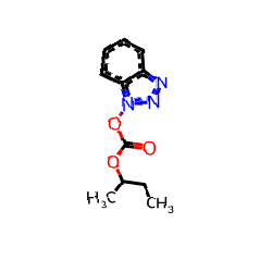 CCC(C)OC(=O)On1nnc2ccccc21